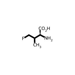 CC(CF)[C@H](N)C(=O)O